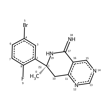 C[C@@]1(c2cc(Br)ccc2F)Cc2ncncc2C(=N)N1